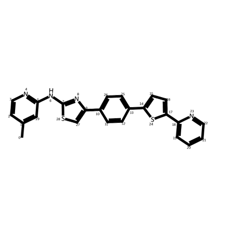 Cc1ccnc(Nc2nc(-c3ccc(-c4ccc(-c5ccccn5)s4)cc3)cs2)c1